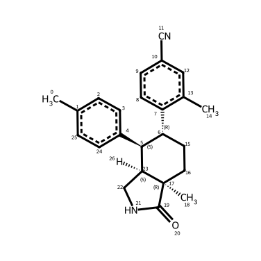 Cc1ccc([C@H]2[C@H](c3ccc(C#N)cc3C)CC[C@@]3(C)C(=O)NC[C@@H]23)cc1